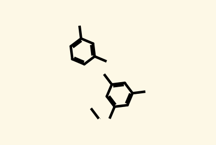 Cc1[c]c(C)cc(C)c1.Cc1c[c]cc(C)c1.[CH2]C